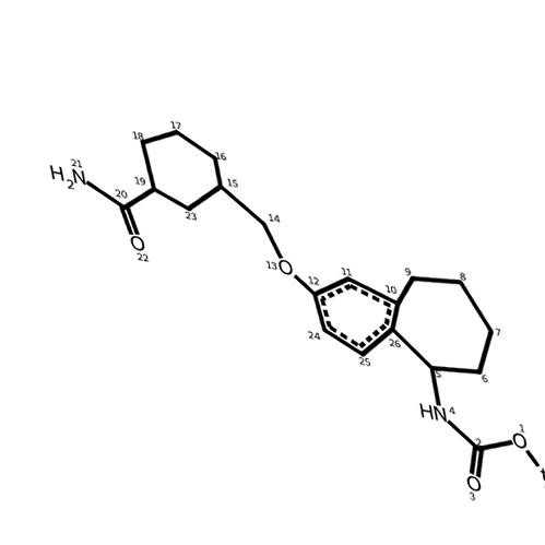 CC(C)(C)OC(=O)NC1CCCCc2cc(OCC3CCCC(C(N)=O)C3)ccc21